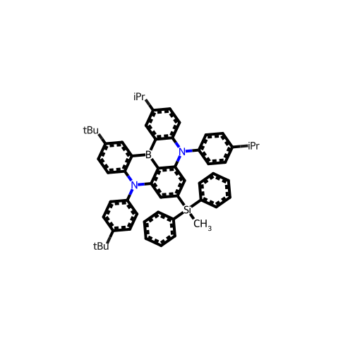 CC(C)c1ccc(N2c3ccc(C(C)C)cc3B3c4cc(C(C)(C)C)ccc4N(c4ccc(C(C)(C)C)cc4)c4cc([Si](C)(c5ccccc5)c5ccccc5)cc2c43)cc1